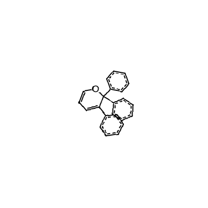 C1=COC(c2ccccc2)(c2ccccc2)C(c2ccccc2)=C1